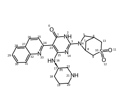 O=c1[nH]c(N2CC3CC2CS(=O)(=O)C3)nc(N[C@@H]2CCCNC2)c1-c1ccc2ccccc2n1